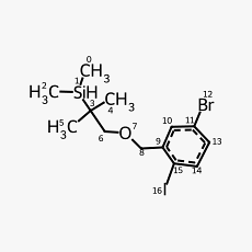 C[SiH](C)C(C)(C)COCc1cc(Br)ccc1I